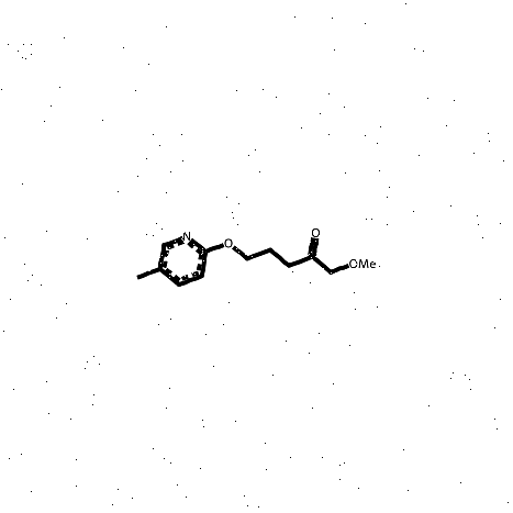 COCC(=O)CCCOc1ccc(C)cn1